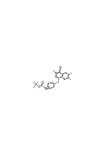 Cc1cc2c(Cc3ccc(NC(=O)OC(C)(C)C)cc3)nn(C)c(=O)c2cc1C